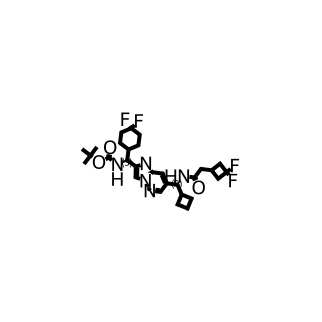 CC(C)(C)OC(=O)N[C@H](c1cn2ncc([C@H](NC(=O)CC3CC(F)(F)C3)C3CCC3)cc2n1)C1CCC(F)(F)CC1